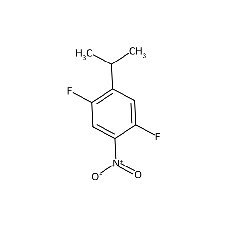 CC(C)c1cc(F)c([N+](=O)[O-])cc1F